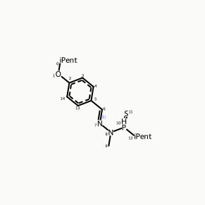 CCCC(C)Oc1ccc(/C=N/N(C)[PH](=S)C(C)CCC)cc1